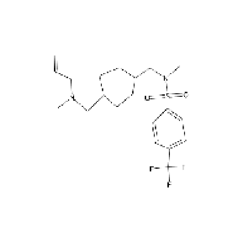 C=CCN(C)CC1CCC(CN(C)S(=O)(=O)c2ccc(C(F)(F)F)cc2)CC1